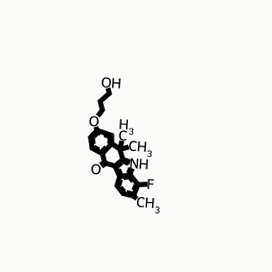 Cc1ccc2c3c([nH]c2c1F)C(C)(C)c1cc(OCCCO)ccc1C3=O